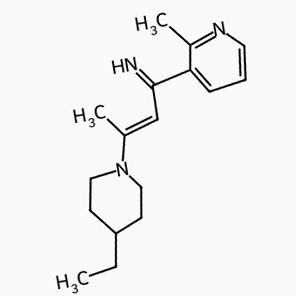 CCC1CCN(/C(C)=C/C(=N)c2cccnc2C)CC1